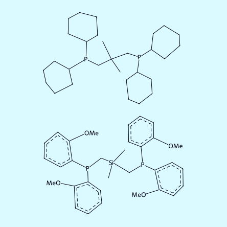 CC(C)(CP(C1CCCCC1)C1CCCCC1)CP(C1CCCCC1)C1CCCCC1.COc1ccccc1P(C[Si](C)(C)CP(c1ccccc1OC)c1ccccc1OC)c1ccccc1OC